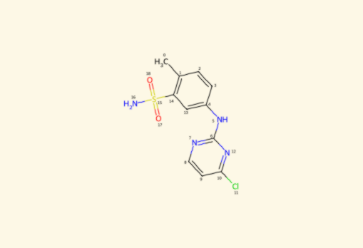 Cc1ccc(Nc2nccc(Cl)n2)cc1S(N)(=O)=O